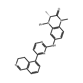 CC(C)N1c2cc(Nc3nccc(-c4cccc5c4CCN=C5)n3)ccc2N(C)C(=O)[C@H]1C